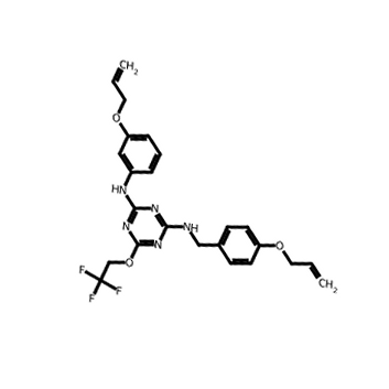 C=CCOc1ccc(CNc2nc(Nc3cccc(OCC=C)c3)nc(OCC(F)(F)F)n2)cc1